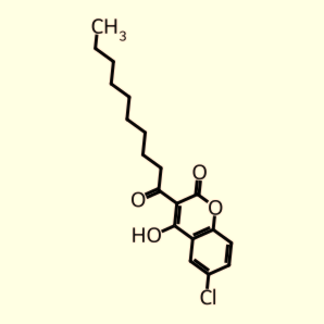 CCCCCCCCCC(=O)c1c(O)c2cc(Cl)ccc2oc1=O